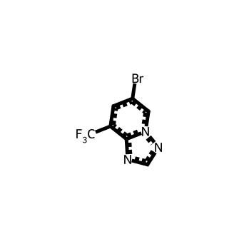 FC(F)(F)c1cc(Br)cn2ncnc12